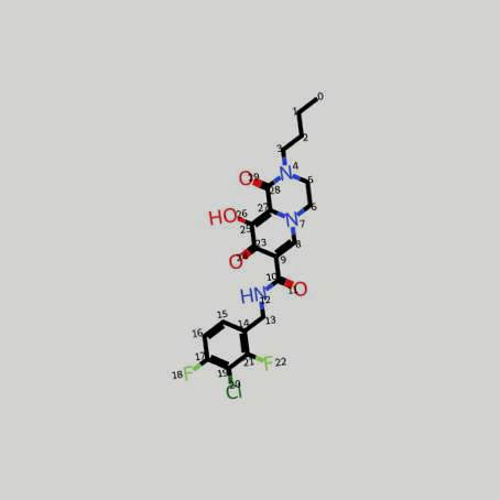 CCCCN1CCn2cc(C(=O)NCc3ccc(F)c(Cl)c3F)c(=O)c(O)c2C1=O